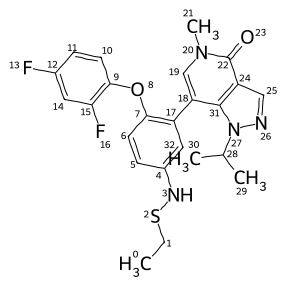 CCSNc1ccc(Oc2ccc(F)cc2F)c(-c2cn(C)c(=O)c3cnn(C(C)C)c23)c1